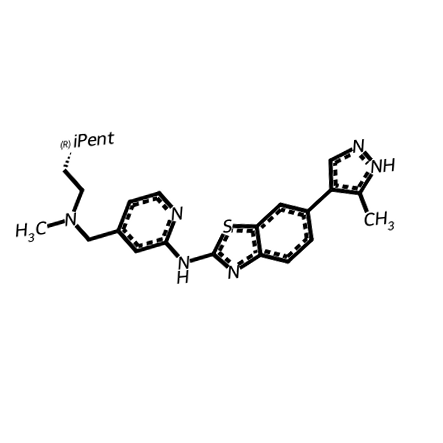 CCC[C@@H](C)CCN(C)Cc1ccnc(Nc2nc3ccc(-c4cn[nH]c4C)cc3s2)c1